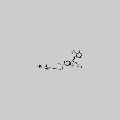 CC1(C)Oc2ncnc(N)c2N=C1c1ccc([C@H]2CC[C@H](CCNC(=O)CO)CC2)cc1